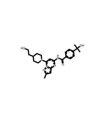 Cc1cc2nc(NC(=O)c3ccc(C(C)(C)O)cc3)cc(N3CCC(CCO)CC3)n2n1